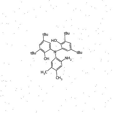 Cc1cc(N)c(N(c2cc(C(C)(C)C)cc(C(C)(C)C)c2O)c2cc(C(C)(C)C)cc(C(C)(C)C)c2O)cc1C